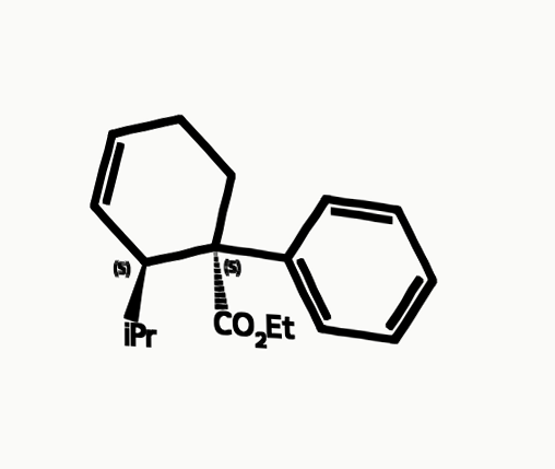 CCOC(=O)[C@@]1(c2ccccc2)CCC=C[C@@H]1C(C)C